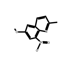 COc1cc([N+](=O)[O-])c2nc(C)ccc2c1